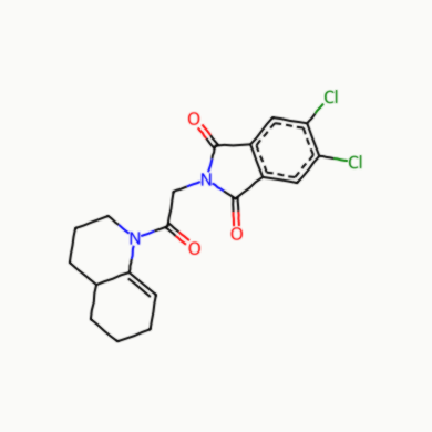 O=C(CN1C(=O)c2cc(Cl)c(Cl)cc2C1=O)N1CCCC2CCCC=C21